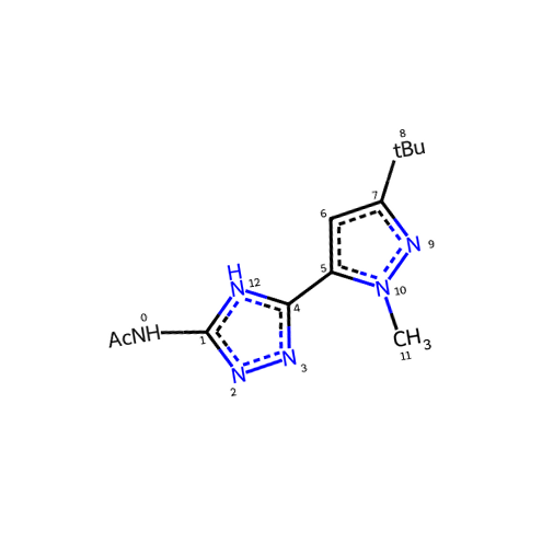 CC(=O)Nc1nnc(-c2cc(C(C)(C)C)nn2C)[nH]1